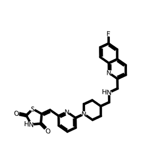 O=C1NC(=O)/C(=C\c2cccc(N3CCC(CNCc4ccc5cc(F)ccc5n4)CC3)n2)S1